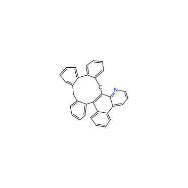 c1ccc2c(c1)Cc1ccccc1-c1c(c3ncccc3c3ccccc13)Cc1ccccc1-2